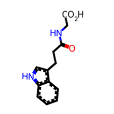 O=C(O)CNC(=O)CCc1c[nH]c2ccccc12